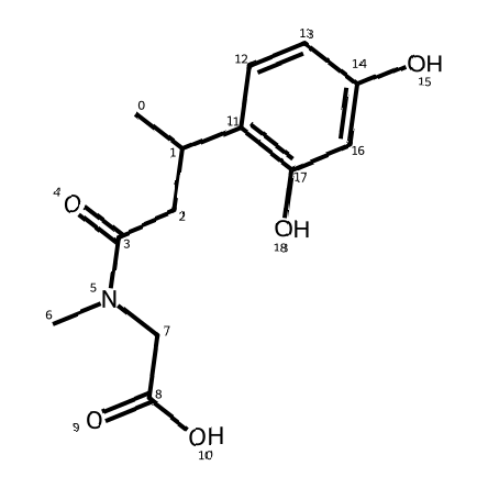 CC(CC(=O)N(C)CC(=O)O)c1ccc(O)cc1O